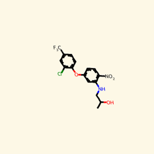 CC(O)CNc1cc(Oc2ccc(C(F)(F)F)cc2Cl)ccc1[N+](=O)[O-]